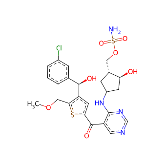 COCc1sc(C(=O)c2cncnc2NC2C[C@H](COS(N)(=O)=O)[C@@H](O)C2)cc1[C@H](O)c1cccc(Cl)c1